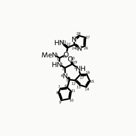 CNC(NC1N=C(c2ccccc2)c2ccccc2NC1=O)OC(=N)c1ncccn1